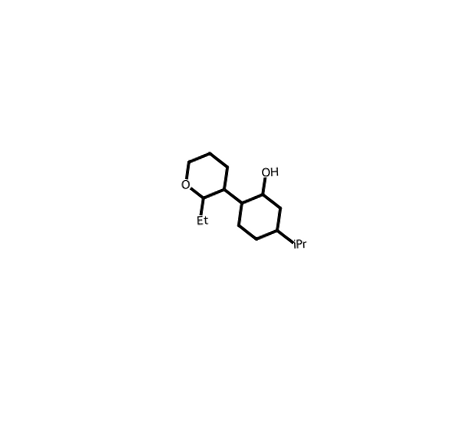 CCC1OCCCC1C1CCC(C(C)C)CC1O